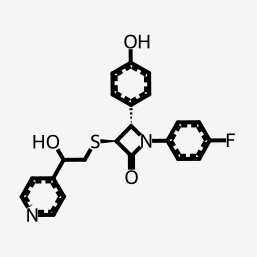 O=C1[C@@H](SCC(O)c2ccncc2)[C@H](c2ccc(O)cc2)N1c1ccc(F)cc1